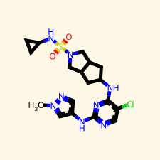 Cn1cc(Nc2ncc(Cl)c(NC3CC4CN(S(=O)(=O)NC5CC5)CC4C3)n2)cn1